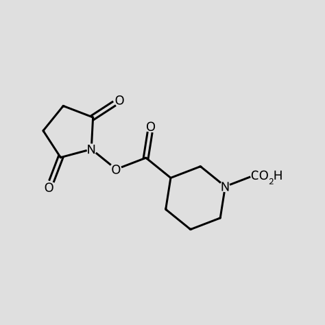 O=C(ON1C(=O)CCC1=O)C1CCCN(C(=O)O)C1